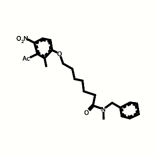 CC(=O)c1c([N+](=O)[O-])ccc(OCCCCCCC(=O)N(C)Cc2ccccc2)c1C